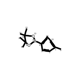 Cc1[c]cc(B2OC(C)(C)C(C)(C)O2)cc1